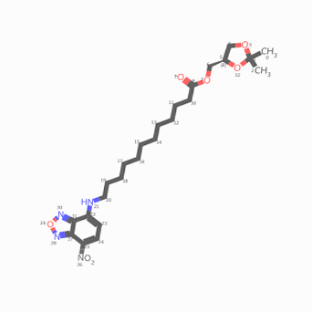 CC1(C)OC[C@H](COC(=O)CCCCCCCCCCCNc2ccc([N+](=O)[O-])c3nonc23)O1